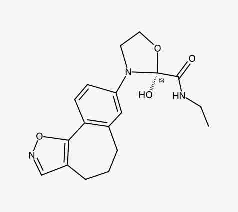 CCNC(=O)[C@]1(O)OCCN1c1ccc2c(c1)CCCc1cnoc1-2